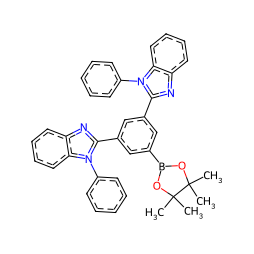 CC1(C)OB(c2cc(-c3nc4ccccc4n3-c3ccccc3)cc(-c3nc4ccccc4n3-c3ccccc3)c2)OC1(C)C